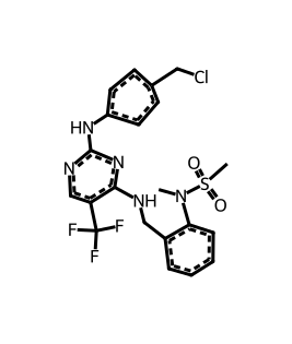 CN(c1ccccc1CNc1nc(Nc2ccc(CCl)cc2)ncc1C(F)(F)F)S(C)(=O)=O